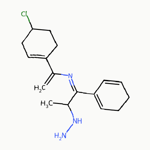 C=C(/N=C(/C1=CCCC=C1)C(C)NN)C1=CCC(Cl)CC1